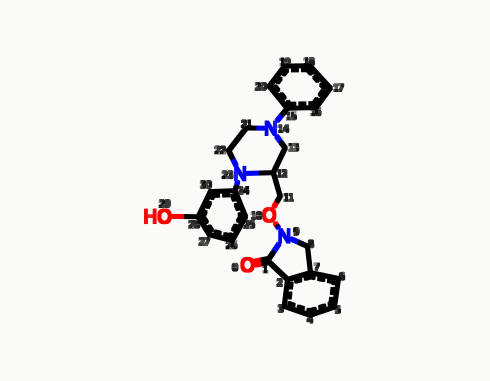 O=C1c2ccccc2CN1OCC1CN(c2ccccc2)CCN1c1cccc(O)c1